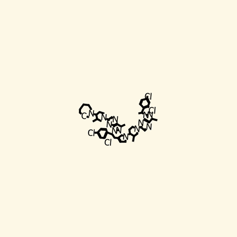 Cc1nn(C(C)c2ccc(Cl)cc2Cl)c2nc(N3CCC(N4CC=C(CC(c5ccc(Cl)cc5Cl)n5nc(C)c6ncc(N7CCC(N8CCCCCCC8)C(C)C7)nc65)C4)C(C)C3)cnc12